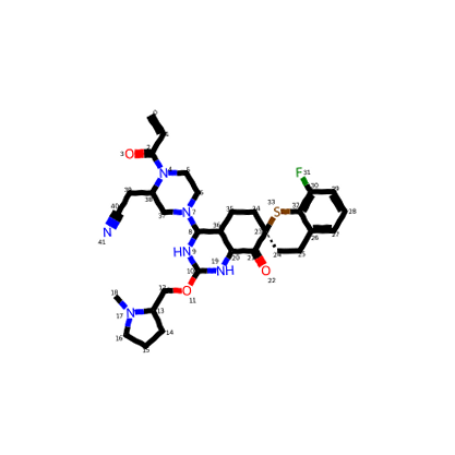 C=CC(=O)N1CCN(C2NC(OCC3CCCN3C)NC3C(=O)[C@@]4(CCc5cccc(F)c5S4)CCC32)CC1CC#N